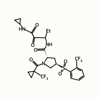 CCC(NC(=O)[C@@H]1C[C@@H](S(=O)(=O)c2ccccc2C(F)(F)F)CN1C(=O)C1(C(F)(F)F)CC1)C(=O)C(=O)NC1CC1